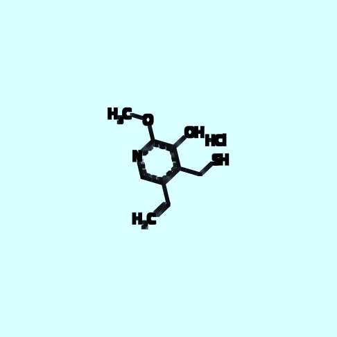 C=Cc1cnc(OC)c(O)c1CS.Cl